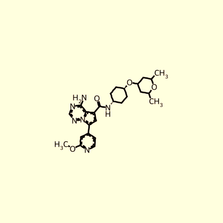 COc1cc(-c2cc(C(=O)N[C@H]3CC[C@H](OC4CC(C)OC(C)C4)CC3)c3c(N)ncnn23)ccn1